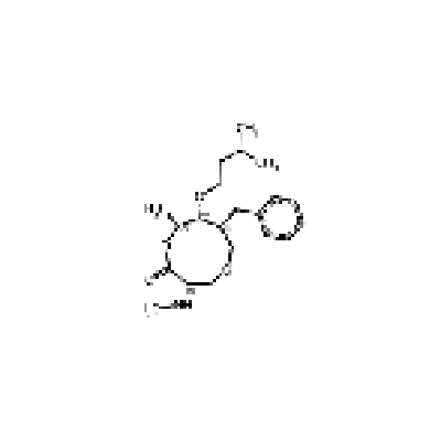 CN[C@H]1COC[C@H](Cc2ccccc2)[C@@H](OCCC(C)C)[C@H](C)OC1=O